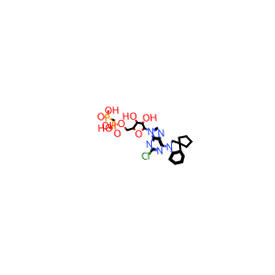 O=P(O)(O)CP(=O)(O)OCC1OC(n2cnc3c(N4CC5(CCCC5)c5ccccc54)nc(Cl)nc32)C(O)C1O